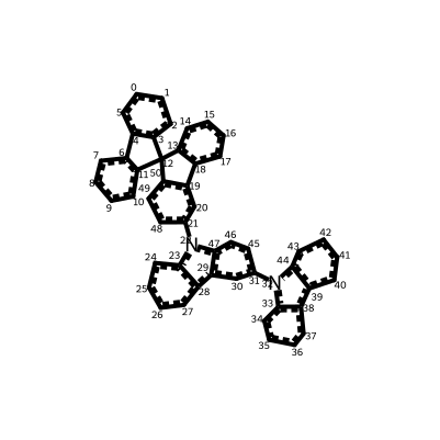 c1ccc2c(c1)-c1ccccc1C21c2ccccc2-c2cc(-n3c4ccccc4c4cc(-n5c6ccccc6c6ccccc65)ccc43)ccc21